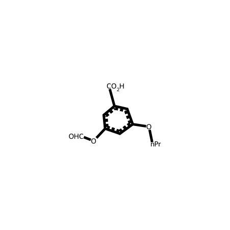 CCCOc1cc(OC=O)cc(C(=O)O)c1